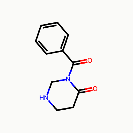 O=C1CCNCN1C(=O)c1ccccc1